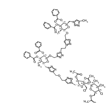 CC(=O)OC[C@H]1O[C@H](O[C@]2(CCl)O[C@H](Cn3cc(COCc4cn(C[C@H]5O[C@H](OCc6cn(CCn7cc(CO[C@H]8O[C@H](Cn9cc(C)nn9)[C@@H](OC(=O)c9ccccc9)[C@H](OC(=O)c9ccccc9)[C@@H]8C)nn7)nn6)[C@@H](OC(=O)c6ccccc6)[C@@H](OC(=O)c6ccccc6)[C@@H]5C)nn4)nn3)[C@@H](OC(C)=O)[C@@H]2OC(C)=O)[C@H](C)[C@@H](C)[C@H]1Cl